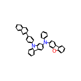 c1ccc(N(c2ccc3c(c2)oc2ccccc23)c2ccc3c4ccccc4n(-c4ccc(-c5ccc6ccccc6c5)cc4)c3c2)cc1